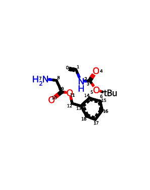 C=CNC(=O)OC(C)(C)C.NCC(=O)OCc1ccccc1